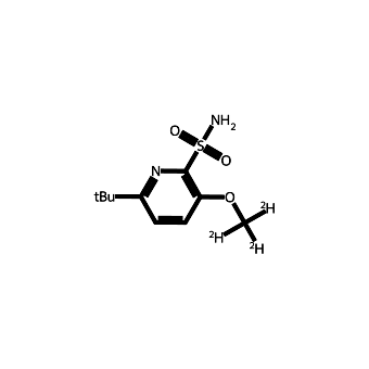 [2H]C([2H])([2H])Oc1ccc(C(C)(C)C)nc1S(N)(=O)=O